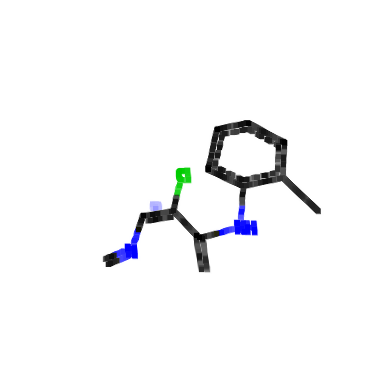 C=N/C=C(/Cl)C(=C)Nc1ccccc1C